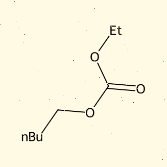 [CH2]CCCCOC(=O)OCC